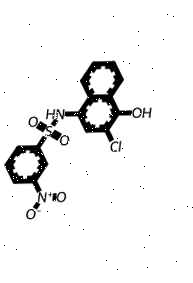 O=[N+]([O-])c1cccc(S(=O)(=O)Nc2cc(Cl)c(O)c3ccccc23)c1